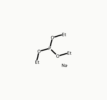 CCOP(OCC)OCC.[Na]